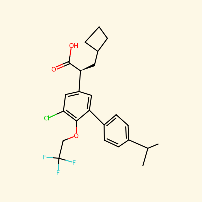 CC(C)c1ccc(-c2cc([C@H](CC3CCC3)C(=O)O)cc(Cl)c2OCC(F)(F)F)cc1